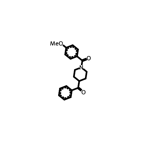 COc1ccc(C(=O)N2CCC(C(=O)c3ccccc3)CC2)cc1